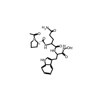 CC(=O)N1CCC[C@H]1C(=O)NC(CCC(N)=O)C(=O)NC(Cc1c[nH]c2ccccc12)C(=O)NO